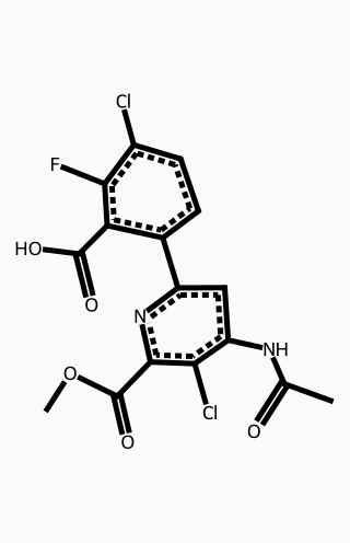 COC(=O)c1nc(-c2ccc(Cl)c(F)c2C(=O)O)cc(NC(C)=O)c1Cl